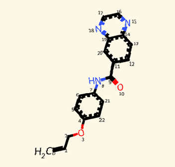 C=CCOc1ccc(NC(=O)c2ccc3nccnc3c2)cc1